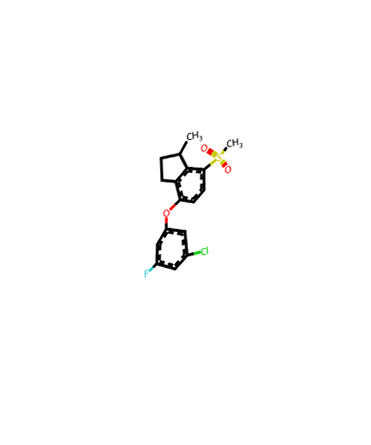 CC1CCc2c(Oc3cc(F)cc(Cl)c3)ccc(S(C)(=O)=O)c21